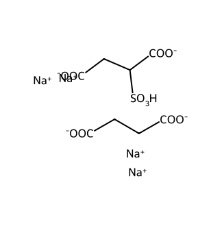 O=C([O-])CC(C(=O)[O-])S(=O)(=O)O.O=C([O-])CCC(=O)[O-].[Na+].[Na+].[Na+].[Na+]